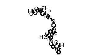 Cn1nc(C2CCC(=O)NC2=O)c2ccc(N3CCN(CCOC4CCC(Oc5cccc(-c6ccc(N7CCc8cccc(C(=O)Nc9nc%10ccccc%10s9)c8C7)nc6C(=O)O)c5C(F)(F)F)CC4)CC3)nc21